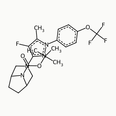 Cc1c(F)c(N2CC3CCC(C2)N3C(=O)OC(C)(C)C)nn1-c1ccc(OC(F)(F)F)cc1